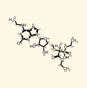 CCNc1nc(Cl)nc2c1ncn2[C@@H]1O[C@H](CO[C@@](C)(C(=O)OCC)P(=O)(O)OCC)[C@@H](O)[C@H]1O